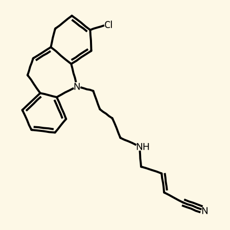 N#C/C=C/CNCCCCN1C2=CC(Cl)=CCC2=CCc2ccccc21